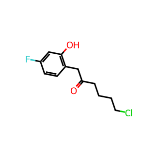 O=C(CCCCCl)Cc1ccc(F)cc1O